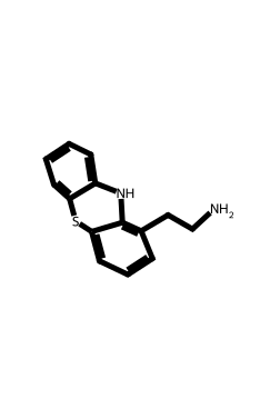 NCCc1cccc2c1Nc1ccccc1S2